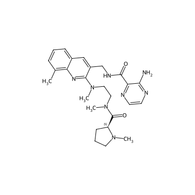 Cc1cccc2cc(CNC(=O)c3nccnc3N)c(N(C)CCN(C)C(=O)[C@@H]3CCCN3C)nc12